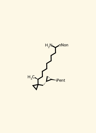 CCCCCCCCCC(N)CCCCCCC[C@H](C)C1(C[C@@H]2C[C@@H]2[C@H](C)CCC)CC1